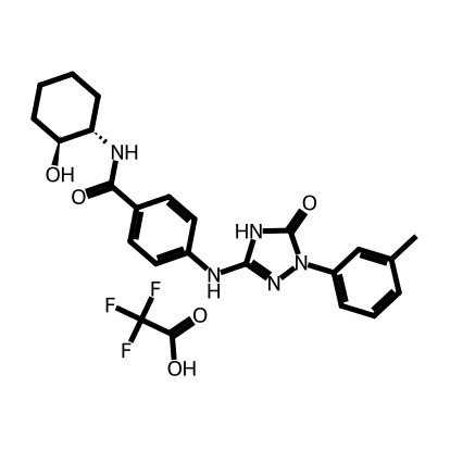 Cc1cccc(-n2nc(Nc3ccc(C(=O)N[C@H]4CCCC[C@@H]4O)cc3)[nH]c2=O)c1.O=C(O)C(F)(F)F